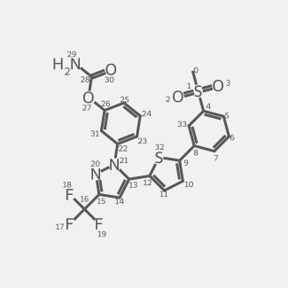 CS(=O)(=O)c1cccc(-c2ccc(-c3cc(C(F)(F)F)nn3-c3cccc(OC(N)=O)c3)s2)c1